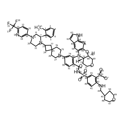 Cc1ccccc1[C@@H]1CN(c2ccc(C(F)(F)F)nc2)CCN1C1CC2(CCN(c3ccc(C(=O)NS(=O)(=O)c4ccc(NCC5CCOCC5)c([N+](=O)[O-])c4)c(N4c5cc6cc[nH]c6nc5O[C@H]5COCC[C@@H]54)c3)CC2)C1